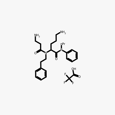 CCCN(C(=O)C(CCCN)N(CCc1ccccc1)C(=O)CCN)c1ccccc1.O=C(O)C(F)(F)F